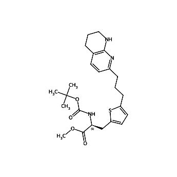 COC(=O)[C@H](Cc1ccc(CCCc2ccc3c(n2)NCCC3)s1)NC(=O)OC(C)(C)C